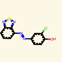 Oc1ccc(/N=N/c2cccc3nsnc23)cc1Cl